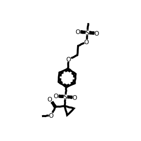 COC(=O)C1(S(=O)(=O)c2ccc(OCCOS(C)(=O)=O)cc2)CC1